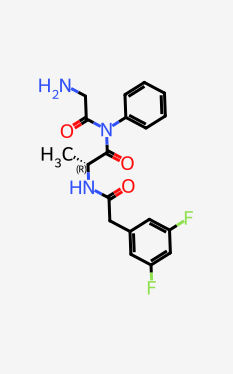 C[C@@H](NC(=O)Cc1cc(F)cc(F)c1)C(=O)N(C(=O)CN)c1ccccc1